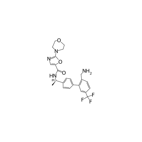 C[C@@H](NC(=O)c1cnc(N2CCOCC2)o1)c1ccc(-c2cc(C(F)(F)F)ccc2CN)cc1